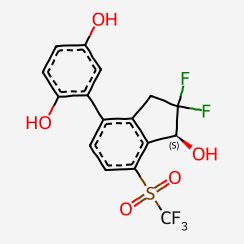 O=S(=O)(c1ccc(-c2cc(O)ccc2O)c2c1[C@H](O)C(F)(F)C2)C(F)(F)F